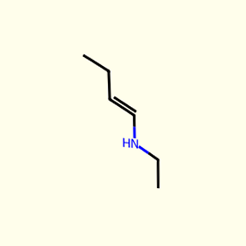 CCC=CNCC